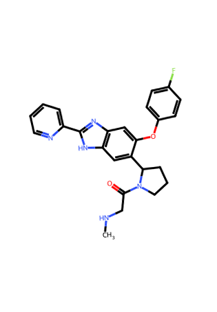 CNCC(=O)N1CCCC1c1cc2[nH]c(-c3ccccn3)nc2cc1Oc1ccc(F)cc1